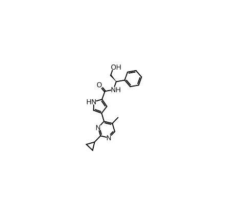 Cc1cnc(C2CC2)nc1-c1c[nH]c(C(=O)N[C@@H](CO)c2ccccc2)c1